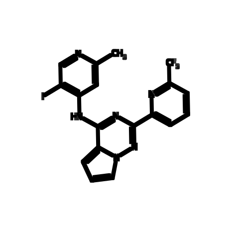 Cc1cc(Nc2nc(-c3cccc(C(F)(F)F)n3)nn3cccc23)c(I)cn1